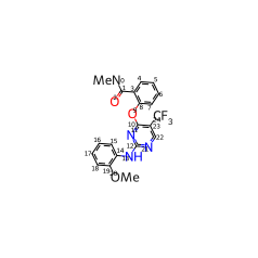 CNC(=O)c1ccccc1Oc1nc(Nc2ccccc2OC)ncc1C(F)(F)F